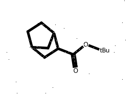 CC(C)(C)OC(=O)C1C[C]2CCC1C2